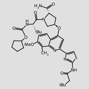 COc1ccc2c(O[C@@H]3C[C@@H](C(N)=O)N(C(=O)[C@@H](NC(=O)OC4CCCC4)C(C)(C)C)C3)cc(-c3csc(NC(=O)CC(C)(C)C)n3)nc2c1C